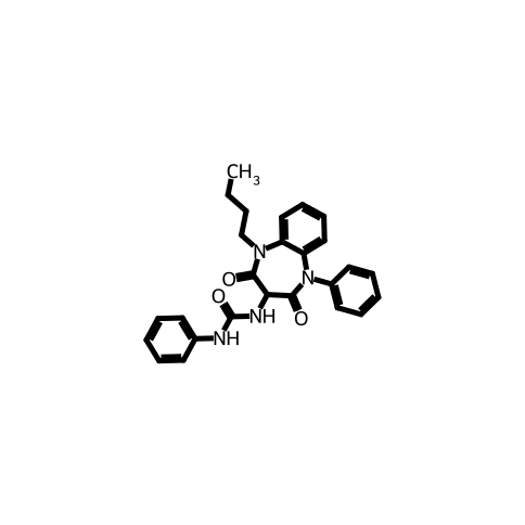 CCCCN1C(=O)C(NC(=O)Nc2ccccc2)C(=O)N(c2ccccc2)c2ccccc21